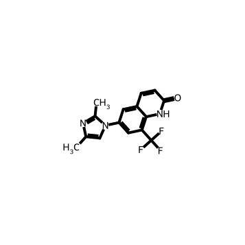 Cc1cn(-c2cc(C(F)(F)F)c3[nH]c(=O)ccc3c2)c(C)n1